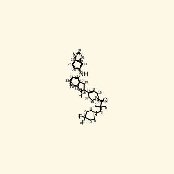 CC(C)(CN1CCC(F)(F)CC1)C(=O)N1CC=C(C2Cc3c(Nc4ccc5ncsc5c4)ccnc3N2)CC1